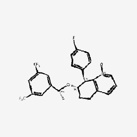 C[C@@H](O[C@H]1CCc2ccc[n+]([O-])c2[C@@H]1c1ccc(F)cc1)c1cc(C(F)(F)F)cc(C(F)(F)F)c1